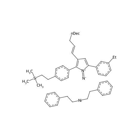 CCCCCCCCCCCC=CC1=C(c2ccc(CC[Si](C)(C)C)cc2)[N+](=[N-])C(c2cccc(CC)c2)=C1.c1ccc(C[CH2][Ni][CH2]Cc2ccccc2)cc1